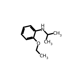 CCOc1ccccc1NC(C)C